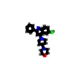 Cl.c1ccc(-c2cc(N3CCC(N4CCOCC4)CC3)c3ccccc3n2)cc1